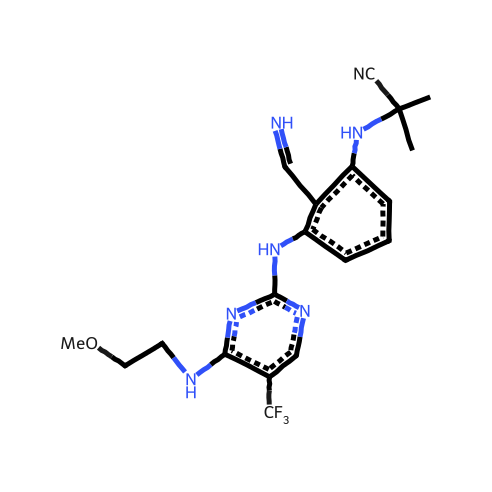 COCCNc1nc(Nc2cccc(NC(C)(C)C#N)c2C=N)ncc1C(F)(F)F